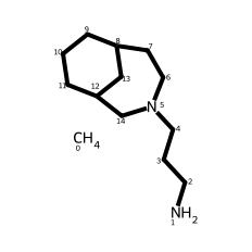 C.NCCCN1CCC2CCCC(C2)C1